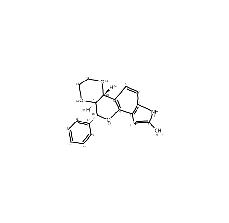 Cc1nc2c3c(ccc2[nH]1)[C@H]1OCCO[C@@H]1[C@@H](c1ccccc1)O3